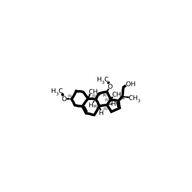 CO[C@H]1CC[C@@]2(C)C(=CC[C@H]3[C@@H]4CC=C([C@H](C)CO)[C@@]4(C)[C@H](OC)C[C@@H]32)C1